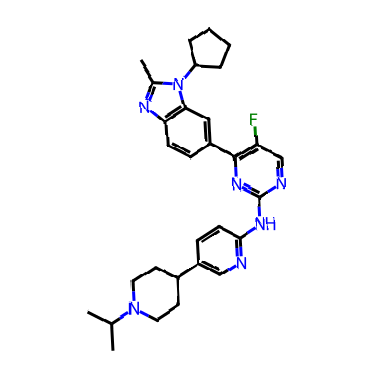 Cc1nc2ccc(-c3nc(Nc4ccc(C5CCN(C(C)C)CC5)cn4)ncc3F)cc2n1C1CCCC1